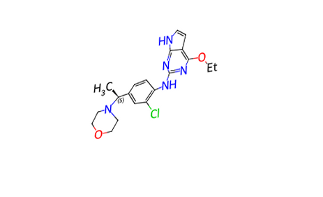 CCOc1nc(Nc2ccc([C@H](C)N3CCOCC3)cc2Cl)nc2[nH]ccc12